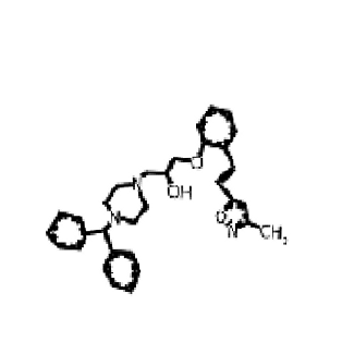 Cc1cc(/C=C/c2ccccc2OCC(O)CN2CCN(C(c3ccccc3)c3ccccc3)CC2)on1